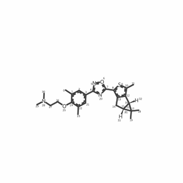 Cc1cc(-c2noc(-c3sc(C)c4c3C[C@@H]3[C@H]4C3(C)C)n2)cc(C)c1OCCN(C)C